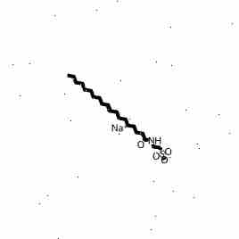 CCCCCCCCCC=CCCCCCCCC(=O)NCCS(=O)(=O)[O-].[Na+]